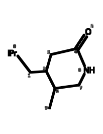 CC(C)CC1CC(=O)NCC1C